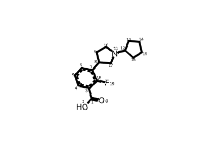 O=C(O)c1cccc(C2CCN(C3CCCC3)C2)c1F